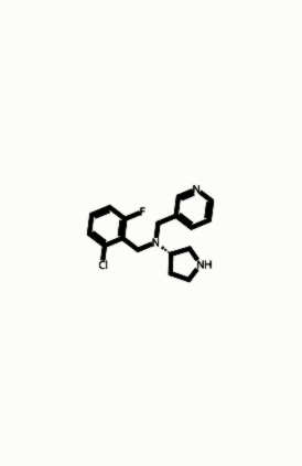 Fc1cccc(Cl)c1CN(Cc1cccnc1)[C@H]1CCNC1